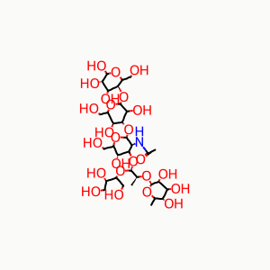 CC(=O)N[C@H]1C(O[C@H](OC(CO)[C@H](O)CO)[C@H](C)O[C@@H]2OC(C)[C@@H](O)C(O)[C@@H]2O)[C@H](O)C(CO)O[C@H]1O[C@@H]1C(O)[C@H](O[C@@H]2C(CO)OC(O)[C@@H](O)C2O)OC(CO)[C@@H]1O